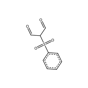 O=CC(C=O)S(=O)(=O)c1ccccc1